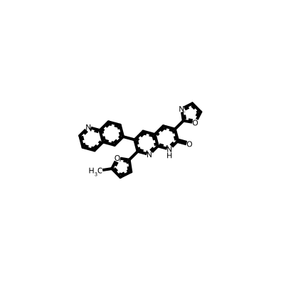 Cc1ccc(-c2nc3[nH]c(=O)c(-c4ncco4)cc3cc2-c2ccc3ncccc3c2)o1